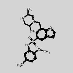 COc1ccc(C)cc1NS(=O)(=O)c1cc(CN2CC(C)NCC2C)c2occc2c1